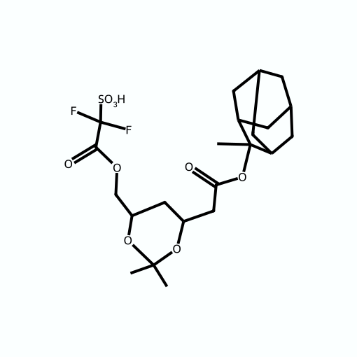 CC1(C)OC(COC(=O)C(F)(F)S(=O)(=O)O)CC(CC(=O)OC2(C)C3CC4CC(C3)CC2C4)O1